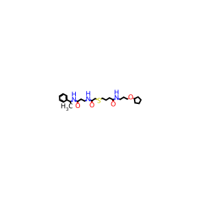 CC(NC(=O)CCNC(=O)CSCCCC(=O)NCCCOC1CCCC1)c1ccccc1